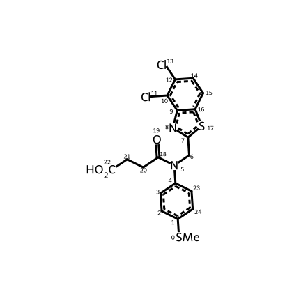 CSc1ccc(N(Cc2nc3c(Cl)c(Cl)ccc3s2)C(=O)CCC(=O)O)cc1